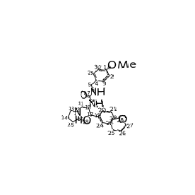 COc1ccc(CNC(=O)N[C@H](CN2CCCC2)[C@H](O)c2ccc3c(c2)CCCO3)cc1